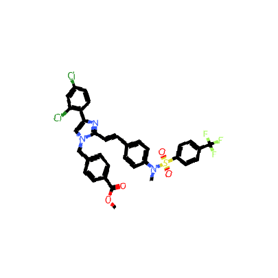 COC(=O)c1ccc(Cn2cc(-c3ccc(Cl)cc3Cl)nc2/C=C/c2ccc(N(C)S(=O)(=O)c3ccc(C(F)(F)F)cc3)cc2)cc1